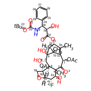 CC(=O)O[C@H]1C(=O)[C@@]2(C)[C@H]([C@H](O)[C@]3(O)C[C@H](OC(=O)[C@H](O)[C@@H](NC(=O)OC(C)(C)C)c4ccccc4)C(C)=C1C3(C)C)[C@]1(OC(C)=O)CO[C@@H]1[C@@H](F)[C@@H]2O